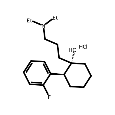 CCN(CC)CCC[C@@]1(O)CCCC[C@H]1c1ccccc1F.Cl